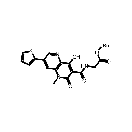 Cn1c(=O)c(C(=O)NCC(=O)OC(C)(C)C)c(O)c2ncc(-c3cccs3)cc21